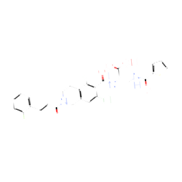 O=C(NC[C@H](NC(=O)c1c(Cl)cc2c(c1Cl)CCN(C(=O)/C=C/c1ccccc1F)C2)C(=O)O)c1cccs1